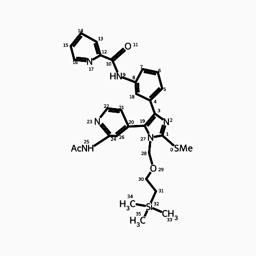 CSc1nc(-c2cccc(NC(=O)c3ccccn3)c2)c(-c2ccnc(NC(C)=O)c2)n1COCC[Si](C)(C)C